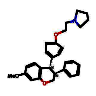 COc1ccc2c(c1)OC[C@H](c1ccccc1)[C@H]2c1ccc(OCCN2CCCC2)cc1